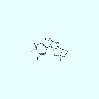 Cn1nc2c(c1-c1cc(F)c(F)c(F)c1)C[C@@H]1CCC21